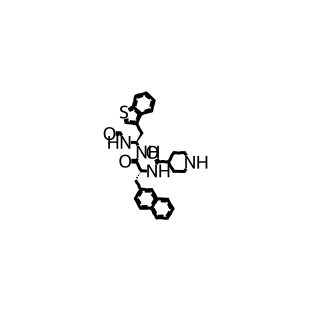 O=CN[C@@H](Cc1csc2ccccc12)NC(=O)[C@@H](Cc1ccc2ccccc2c1)NC(=O)C1CCNCC1